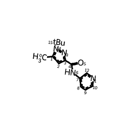 Cc1cc(C(=O)Nc2cccnc2)nn1C(C)(C)C